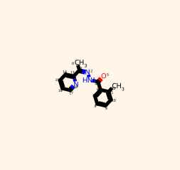 CC(=NNC(=O)c1ccccc1C)c1ccccn1